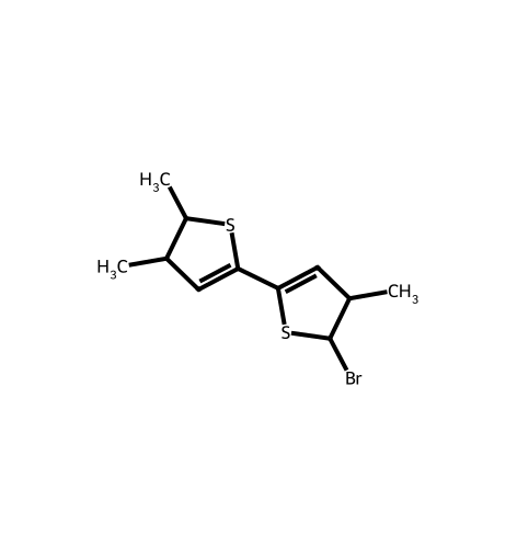 CC1C=C(C2=CC(C)C(Br)S2)SC1C